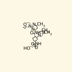 Cc1cc(NC(=O)c2ccc(NS(=O)(=O)CCO)cc2N2CC[Si](C)(C)CC2)nc(N2CCOC3(CC3)C2)n1